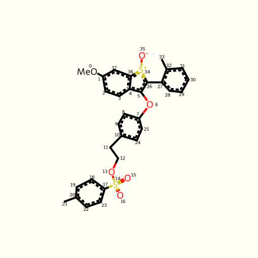 COc1ccc2c(Oc3ccc(CCOS(=O)(=O)c4ccc(C)cc4)cc3)c(-c3ccccc3C)[s+]([O-])c2c1